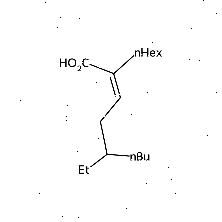 CCCCCCC(=CCC(CC)CCCC)C(=O)O